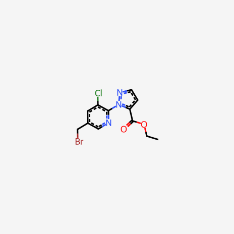 CCOC(=O)c1ccnn1-c1ncc(CBr)cc1Cl